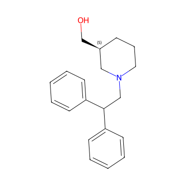 OC[C@H]1CCCN(CC(c2ccccc2)c2ccccc2)C1